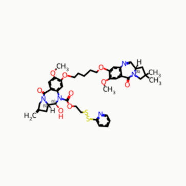 C=C1C[C@H]2[C@H](O)N(C(=O)OCCSSc3ccccn3)c3cc(OCCCCCOc4cc5c(cc4OC)C(=O)N4CC(C)(C)C[C@H]4C=N5)c(OC)cc3C(=O)N2C1